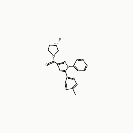 Cc1ccc(-c2cc(C(=O)N3CC[C@H](F)C3)nn2-c2cccnc2)nc1